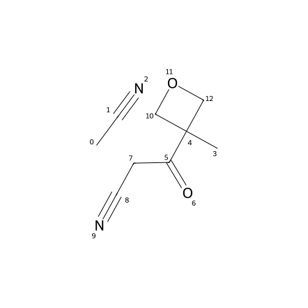 CC#N.CC1(C(=O)CC#N)COC1